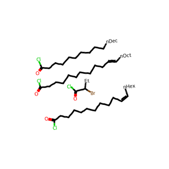 CCC(Br)C(=O)Cl.CCCCCC/C=C\CCCCCCCCCC(=O)Cl.CCCCCCCCC=CCCCCCCCCCC(=O)Cl.CCCCCCCCCCCCCCCCCCCC(=O)Cl